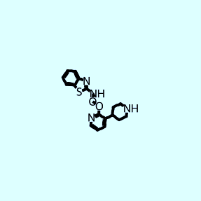 c1cnc(OONc2nc3ccccc3s2)c(C2CCNCC2)c1